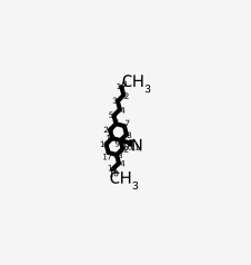 CCCCCCC1CCC2(C#N)CC(CCC)CCC2C1